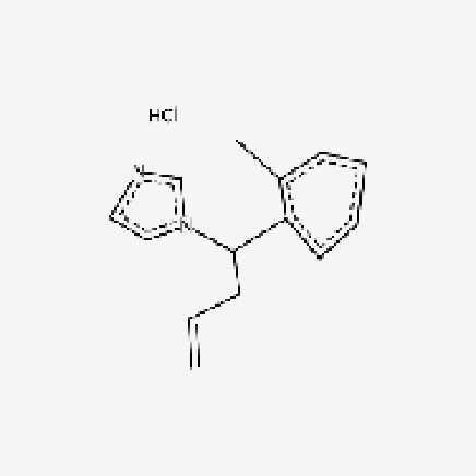 C=CCC(c1ccccc1C)n1ccnc1.Cl